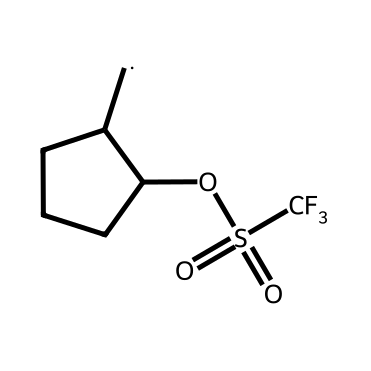 [CH2]C1CCCC1OS(=O)(=O)C(F)(F)F